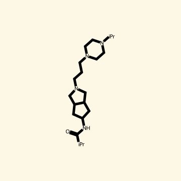 CC(C)C(=O)NC1CC2CN(CCCN3CCN(C(C)C)CC3)CC2C1